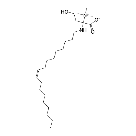 CCCCCCCC/C=C\CCCCCCCCNC(CCO)(C(=O)[O-])[N+](C)(C)C